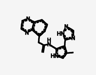 C=C(Cc1cccc2nccnc12)Nc1[nH]cc(C)c1-c1ncn[nH]1